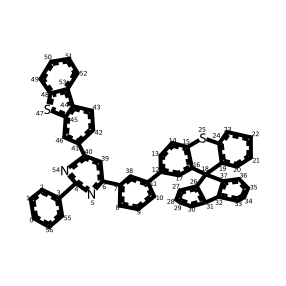 c1ccc(-c2nc(-c3cccc(-c4ccc5c(c4)C4(c6ccccc6S5)c5ccccc5-c5ccccc54)c3)cc(-c3ccc4c(c3)sc3ccccc34)n2)cc1